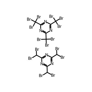 BrC(Br)(Br)c1nc(C(Br)(Br)Br)nc(C(Br)(Br)Br)n1.BrC(Br)c1nc(C(Br)Br)nc(C(Br)Br)n1